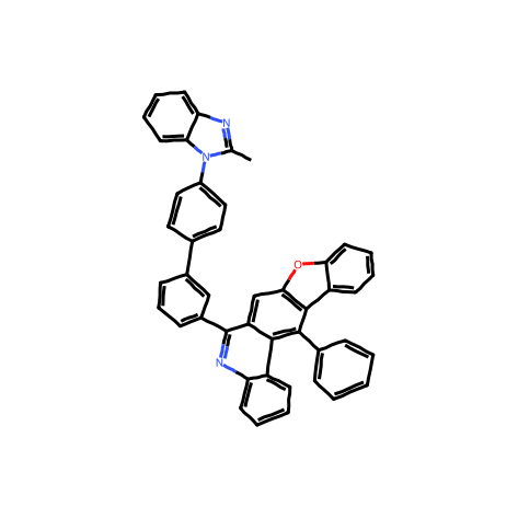 Cc1nc2ccccc2n1-c1ccc(-c2cccc(-c3nc4ccccc4c4c(-c5ccccc5)c5c(cc34)oc3ccccc35)c2)cc1